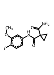 COc1cc(NC(=O)C2(C(N)=O)CC2)ccc1F